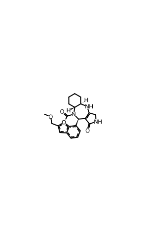 COCc1cc2cccc([C@@H]3C4=C(CNC4=O)N[C@@H]4CCCC[C@H]4N3C(C)=O)c2o1